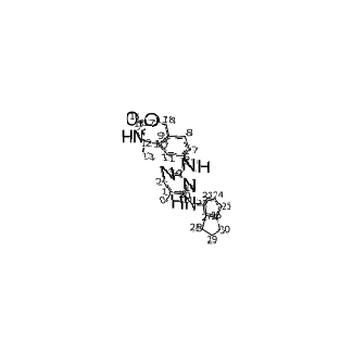 Cc1cnc(Nc2ccc3c(c2)[C@@H](C)NC(=O)OC3)nc1Nc1cccc2c1CCC2